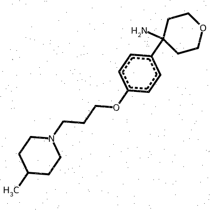 CC1CCN(CCCOc2ccc(C3(N)CCOCC3)cc2)CC1